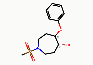 CS(=O)(=O)N1CC[C@@H](O)[C@H](Oc2ccccc2)CC1